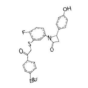 CC(C)(C)c1ccc(C(=O)CSc2cc(N3C(=O)CC3c3ccc(O)cc3)ccc2F)cc1